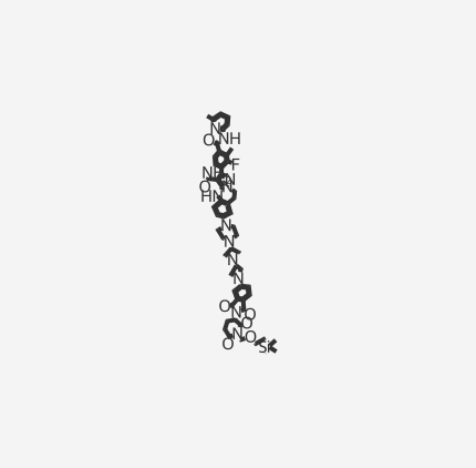 Cc1cccc(NC(=O)c2ccc(-c3nn4c(c3C(N)=O)Nc3ccc(N5CCN(C6CN(C7CN(c8ccc9c(c8)C(=O)N(C8CCC(=O)N(COCC[Si](C)(C)C)C8=O)C9=O)C7)C6)CC5)cc3CC4)c(F)c2C)n1